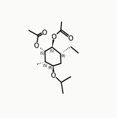 CC[C@@H]1C[C@@H](OC(C)C)[C@H](C)[C@H](OC(C)=O)[C@H]1OC(C)=O